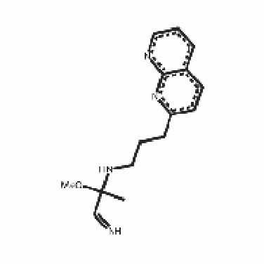 COC(C)(C=N)NCCCc1ccc2cccnc2n1